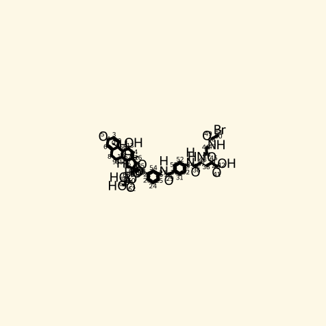 C[C@]12C=CC(=O)C=C1CC[C@@H]1[C@@H]2[C@@H](O)C[C@@]2(C)[C@H]1C[C@H]1O[C@@H](c3cccc(NC(=O)c4ccc(NC(=O)[C@H](CCC(=O)O)NC(=O)CNC(=O)CBr)cc4)c3)O[C@]12C(=O)COP(=O)(O)O